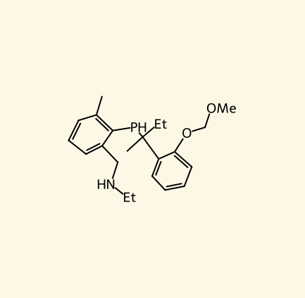 CCNCc1cccc(C)c1PC(C)(CC)c1ccccc1OCOC